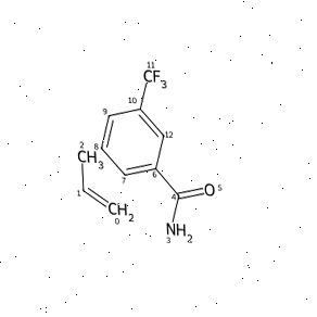 C=CC.NC(=O)c1cccc(C(F)(F)F)c1